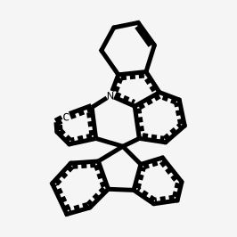 C1=Cc2c(n3c4c(cccc24)C2(c4ccccc4-c4ccccc42)c2ccccc2-3)CC1